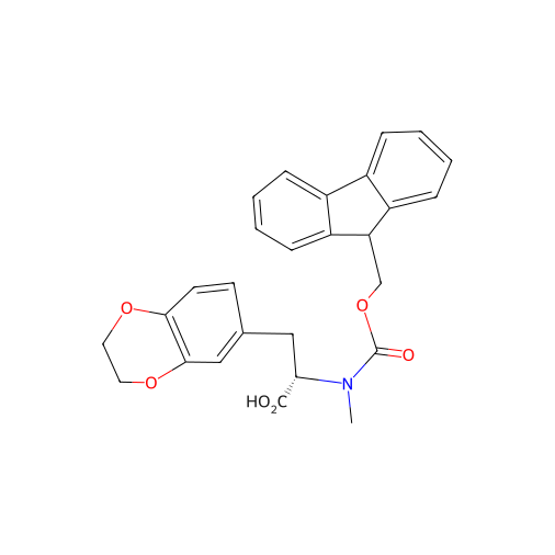 CN(C(=O)OCC1c2ccccc2-c2ccccc21)[C@@H](Cc1ccc2c(c1)OCCO2)C(=O)O